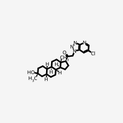 C[C@@]1(O)CC[C@H]2[C@H](CC[C@@H]3[C@@H]2CC[C@]2(C)[C@@H](C(=O)Cn4nnc5ncc(Cl)cc54)CC[C@@H]32)C1